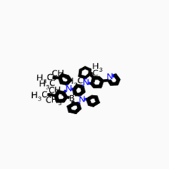 CC(C)(C)c1cccc(N2c3cc(C(C)(C)C)ccc3B3c4ccccc4N(c4ccccc4)c4cc(N5c6ccc(-c7ccccn7)cc6C6(C)CCCCC56C)cc2c43)c1